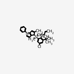 C=CCOc1c(C(C)(C)C)cc(Cl)cc1[Si](C)(C)C1C(C)=Cc2c1ccn2-c1ccccc1